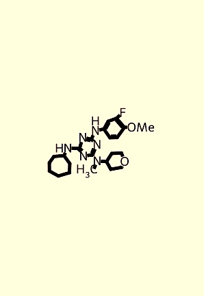 COc1ccc(Nc2nc(NC3CCCCCC3)nc(N(C)C3CCOCC3)n2)cc1F